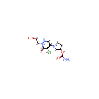 NC(=O)O[C@@H]1CCN(c2cnn(CCO)c(=O)c2Cl)C1